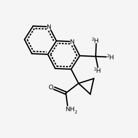 [2H]C([2H])([2H])c1nc2ncccc2cc1C1(C(N)=O)CC1